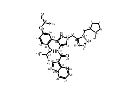 CN1CCCC1Cn1nnnc1Cn1cc(NC(=O)c2cnn3cccnc23)c(-c2cc(OC(F)F)ccc2OC(F)F)n1